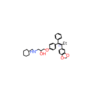 CC/C(=C(\c1ccccc1)c1ccc(OCC(O)CNCC2CCCCC2)cc1)c1ccc2c(c1)OCO2